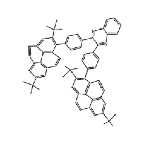 CC(C)(C)c1cc2ccc3cc(C(C)(C)C)c(-c4ccc(-c5nc6ccccc6nc5-c5ccc(-c6c(C(C)(C)C)cc7ccc8cc(C(C)(C)C)cc9ccc6c7c89)cc5)cc4)c4ccc(c1)c2c34